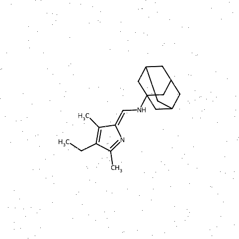 CCC1=C(C)/C(=C/NC23CC4CC(CC(C4)C2)C3)N=C1C